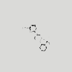 Nc1nc(Cl)cc(N2CCC(c3ccccc3C(F)(F)F)CC2)n1